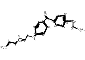 CCCOCCOc1ccc(C(=O)c2ccc(OCC)cc2)cc1